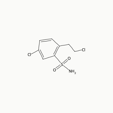 NS(=O)(=O)c1cc(Cl)ccc1CCCl